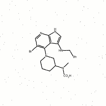 CC(C)CNc1c[nH]c2ncc(Br)c(N3CCCC(N(C)C(=O)O)C3)c12